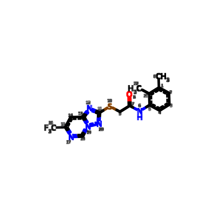 Cc1cccc(NC(=O)CSc2nc3cc(C(F)(F)F)ncn3n2)c1C